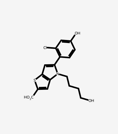 O=C(O)c1cc2c(cc(-c3ccc(O)cc3Cl)n2CCCCO)s1